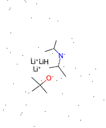 CC(C)(C)[O-].CC(C)[N-]C(C)C.[Li+].[Li+].[LiH]